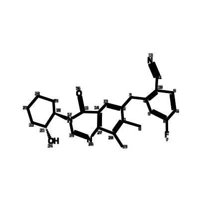 Cc1c(Cc2cc(F)ccc2C#N)cc2c(=O)n([C@@H]3CCCC[C@H]3O)cnc2c1C